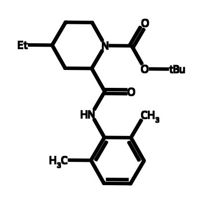 CCC1CCN(C(=O)OC(C)(C)C)C(C(=O)Nc2c(C)cccc2C)C1